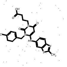 Cc1nc2ccc(Nc3cc(=O)n(CCCC(=O)O)c(=O)n3CC3=CC=C(Cl)CC3)cc2s1